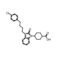 O=C(O)N1CCC(n2c(=O)n(CCCCc3ccc(Cl)cc3)c3ccccc32)CC1